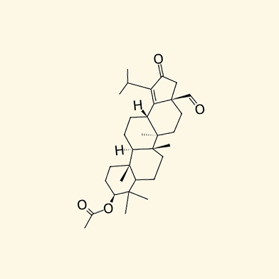 CC(=O)O[C@H]1CC[C@@]2(C)C(CC[C@]3(C)[C@@H]2CC[C@@H]2C4=C(C(C)C)C(=O)C[C@]4(C=O)CC[C@]23C)C1(C)C